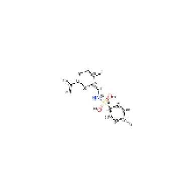 C=C(C)C1CC=C(C)/C(=C/NS(=O)(=O)c2ccc(C)cc2)C1